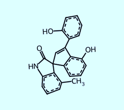 Cc1cccc2c1C1(C=C(c3ccccc3O)c3c(O)cccc31)C(=O)N2